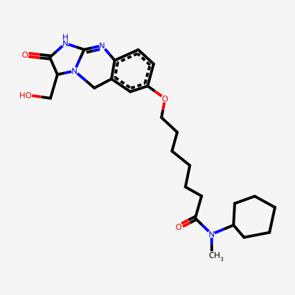 CN(C(=O)CCCCCCOc1ccc2c(c1)CN1C(=N2)NC(=O)C1CO)C1CCCCC1